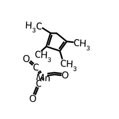 CC1=C(C)C(C)=C(C)C1.O=[C]=[Mn](=[C]=O)=[C]=O